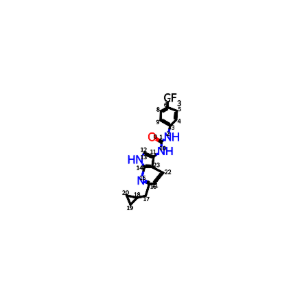 O=C(Nc1ccc(C(F)(F)F)cc1)Nc1c[nH]c2nc(CC3CC3)ccc12